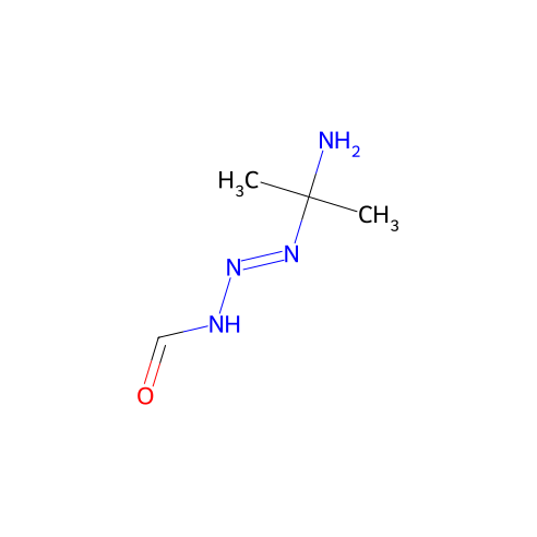 CC(C)(N)N=NNC=O